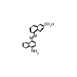 Nc1ccc(/N=N/c2cccc3cc(S(=O)(=O)O)ccc23)c2ccccc12